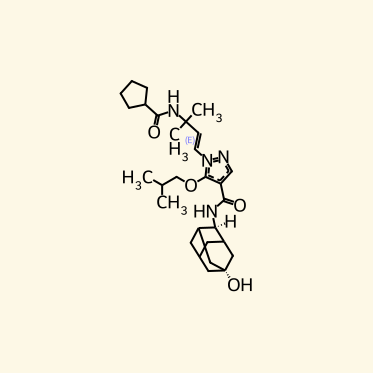 CC(C)COc1c(C(=O)N[C@H]2C3CC4CC2C[C@](O)(C4)C3)cnn1/C=C/C(C)(C)NC(=O)C1CCCC1